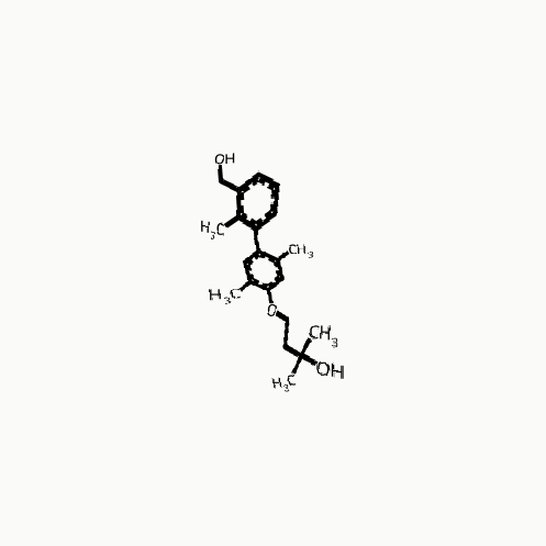 Cc1cc(-c2cccc(CO)c2C)c(C)cc1OCCC(C)(C)O